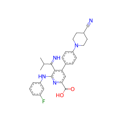 CC(C)C(=N)c1c(-c2ccc(N3CCC(C#N)CC3)cc2)cc(C(=O)O)nc1Nc1cccc(F)c1